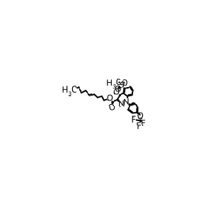 CCCCCCCCCOC(=O)c1nn(-c2ccc(OC(F)(F)F)cc2)c2cccc(S(C)(=O)=O)c2c1=O